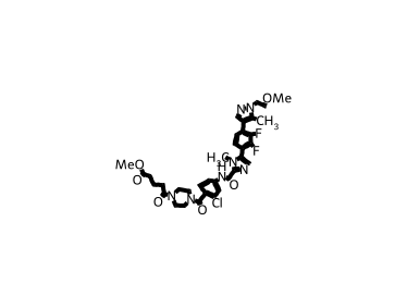 COCCn1ncc(-c2ccc(-c3cnc(C(=O)Nc4ccc(C(=O)N5CCN(C(=O)CCCC(=O)OC)CC5)c(Cl)c4)n3C)c(F)c2F)c1C